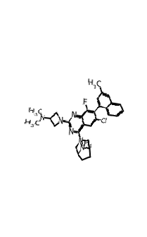 Cc1cc(-c2c(Cl)cc3c(N4CC5CCC(C4)N5C)nc(N4CC(N(C)C)C4)nc3c2F)c2ccccc2c1